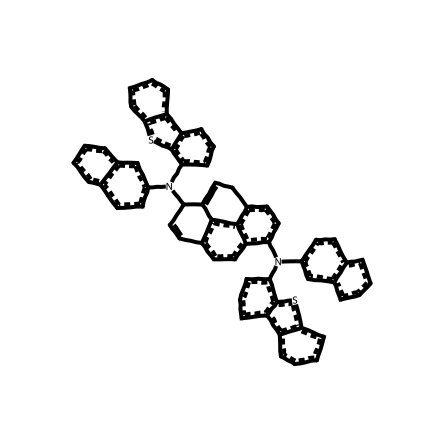 C1=CC(N(c2ccc3ccccc3c2)c2cccc3c2sc2ccccc23)C2=CCc3ccc(N(c4ccc5ccccc5c4)c4cccc5c4sc4ccccc45)c4ccc1c2c34